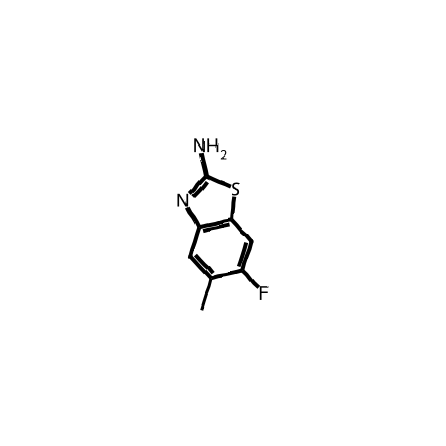 Cc1cc2nc(N)sc2cc1F